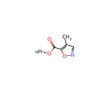 CCCOC(=O)c1oncc1C